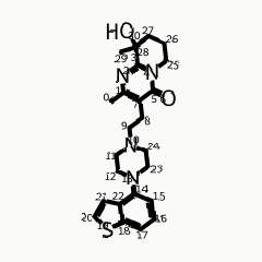 Cc1nc2n(c(=O)c1CCN1CCN(c3cccc4sccc34)CC1)CCCC2(C)O